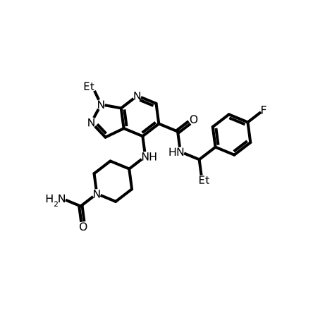 CCC(NC(=O)c1cnc2c(cnn2CC)c1NC1CCN(C(N)=O)CC1)c1ccc(F)cc1